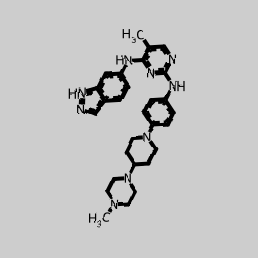 Cc1cnc(Nc2ccc(N3CCC(N4CCN(C)CC4)CC3)cc2)nc1Nc1ccc2cn[nH]c2c1